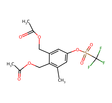 CC(=O)OCc1cc(OS(=O)(=O)C(F)(F)F)cc(C)c1COC(C)=O